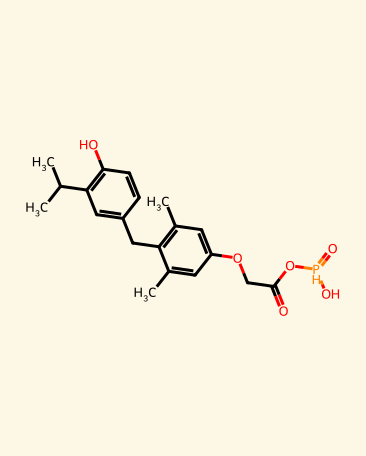 Cc1cc(OCC(=O)O[PH](=O)O)cc(C)c1Cc1ccc(O)c(C(C)C)c1